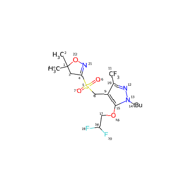 CC1(C)CC(S(=O)(=O)Cc2c(C(F)(F)F)nn(C(C)(C)C)c2OCC(F)F)=NO1